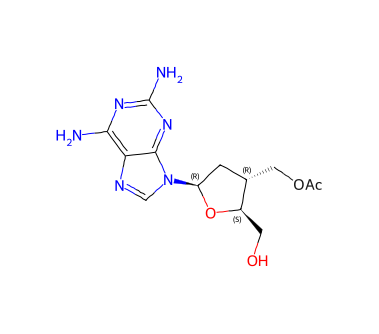 CC(=O)OC[C@H]1C[C@H](n2cnc3c(N)nc(N)nc32)O[C@@H]1CO